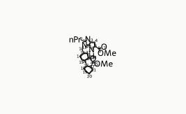 CCCc1nc2cc(C(=O)OC)[nH]c2n1Cc1ccc(-c2ccccc2C(=O)OC)cc1